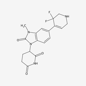 Cn1c(=O)n(C2CCC(=O)NC2=O)c2ccc(C3=CCNCC3(F)F)cc21